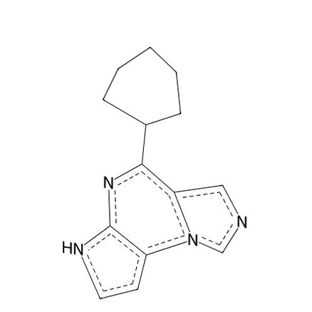 c1cc2c(nc(C3CCCCC3)c3cncn32)[nH]1